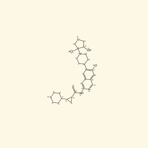 CC1(N2CCC(c3cc4cc(NC(=O)C5CC5C5CCOCC5)ncc4cc3Cl)CC2)COCC1O